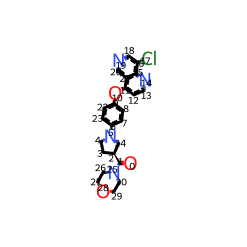 O=C([C@H]1CCN(c2ccc(Oc3ccnc4c(Cl)cncc34)cc2)C1)N1CCOCC1